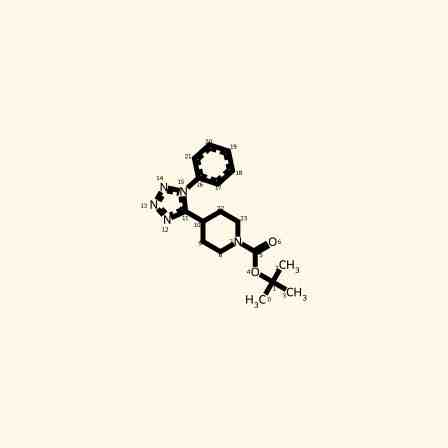 CC(C)(C)OC(=O)N1CCC(c2nnnn2-c2ccccc2)CC1